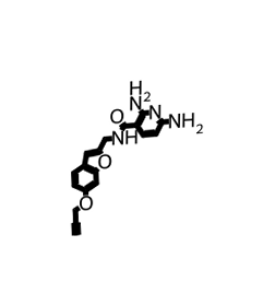 C#CCOc1ccc2cc(CNC(=O)c3ccc(N)nc3N)oc2c1